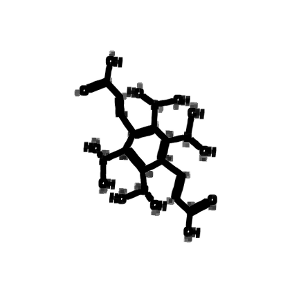 O=C(O)C=Cc1c(B(O)O)c(B(O)O)c(C=CC(=O)O)c(B(O)O)c1B(O)O